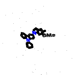 COc1cc2c(cc1C)CCN2C1=CC2c3ccccc3N(C3C=CC=CC3)C2C=C1